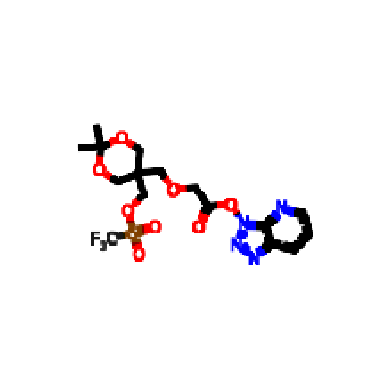 CC1(C)OCC(COCC(=O)On2nnc3cccnc32)(COS(=O)(=O)C(F)(F)F)CO1